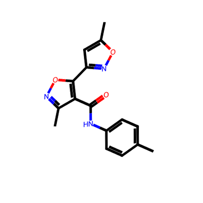 Cc1ccc(NC(=O)c2c(C)noc2-c2cc(C)on2)cc1